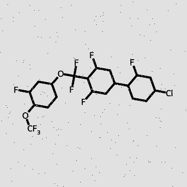 FC1CC(OC(F)(F)C2C(F)CC(C3CCC(Cl)CC3F)CC2F)CCC1OC(F)(F)F